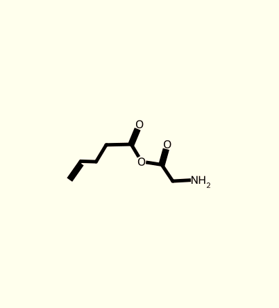 C=CCCC(=O)OC(=O)CN